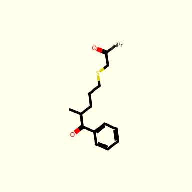 CC(C)C(=O)CSCCCC(C)C(=O)c1ccccc1